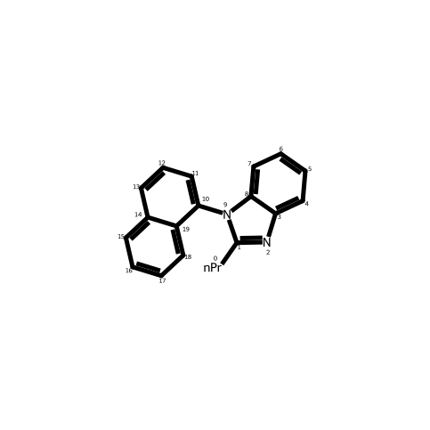 CCCc1nc2ccccc2n1-c1cccc2ccccc12